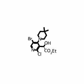 CCOC(=O)[C@@H](O)c1c(Cl)ncc(Br)c1N1CCC(C)(C)CC1